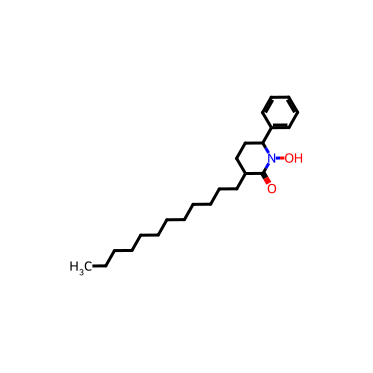 CCCCCCCCCCCCC1CCC(c2ccccc2)N(O)C1=O